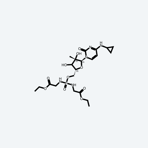 CCOC(=O)CNP(=O)(NCC(=O)OCC)OC[C@H]1O[C@H](n2ccc(NC3CC3)nc2=O)[C@@](C)(O)C1O